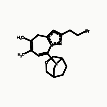 CC1=C(C)Cc2cc(CCC(C)C)nn2C(N2CC3CCC2COC3)=C1